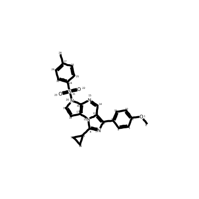 COc1ccc(-c2nc(C3CC3)n3c2cnc2c3ccn2S(=O)(=O)c2ccc(C)cc2)cc1